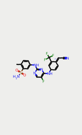 Cc1ccc(Nc2ncc(F)c(NC3C=C/C(=C\C#N)C(C(F)(F)F)=C3)n2)cc1S(N)(=O)=O